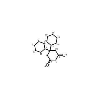 O=C1CC(=O)CC(C2CCCCC2)(C2CCCCC2)C1